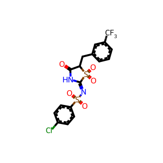 O=C1NC(=NS(=O)(=O)c2ccc(Cl)cc2)S(=O)(=O)C1Cc1cccc(C(F)(F)F)c1